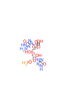 Nc1nc2c(ncn2[C@@H]2O[C@@]3(CCC(O)OC[C@H]4[C@@H](O)[C@H](n5cnc6c(=O)[nH]cnc65)O[C@@H]4COP)CO[C@H]3[C@H]2OO)c(=O)[nH]1